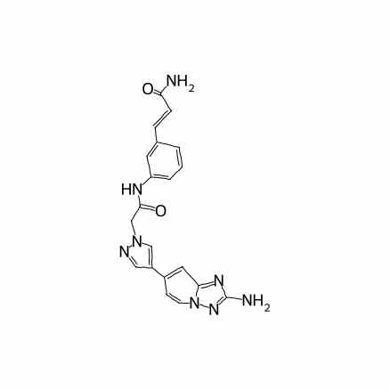 NC(=O)C=Cc1cccc(NC(=O)Cn2cc(-c3ccn4nc(N)nc4c3)cn2)c1